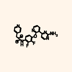 Nc1nccc(-c2cccnc2Oc2ccc(NS(=O)(=O)Cc3ccncc3)c(F)c2F)n1